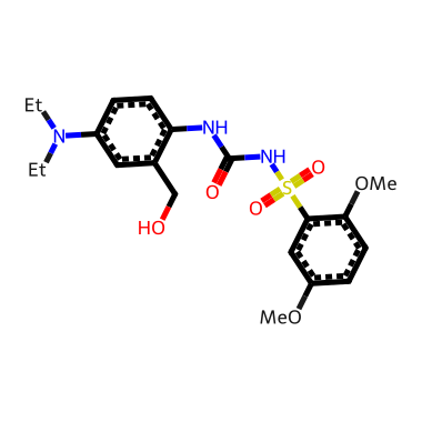 CCN(CC)c1ccc(NC(=O)NS(=O)(=O)c2cc(OC)ccc2OC)c(CO)c1